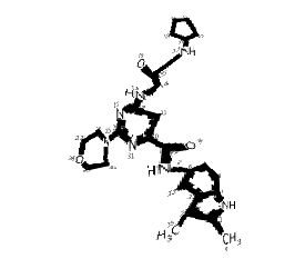 Cc1[nH]c2ccc(NC(=O)c3cc(NCC(=O)NC4CCCC4)nc(N4CCOCC4)n3)cc2c1C